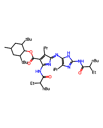 CCCCC(CC)C(=O)NC1=N/C(=N\c2[nH]c(NC(=O)C(CC)CCCC)nc2C(C)C)C(C(C)C)=C1C(=O)OC1C(C(C)(C)C)CC(C)CC1C(C)(C)C